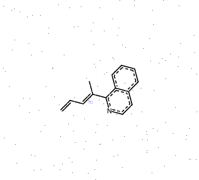 C=C/C=C(\C)c1nccc2ccccc12